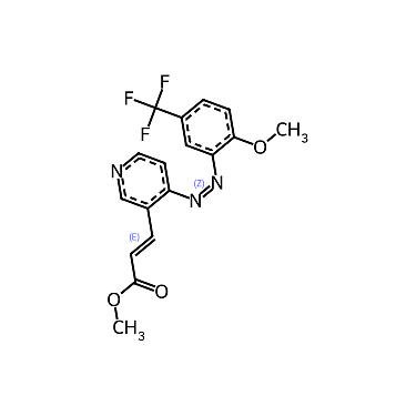 COC(=O)/C=C/c1cnccc1/N=N\c1cc(C(F)(F)F)ccc1OC